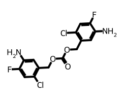 Nc1cc(COC(=O)OCc2cc(N)c(F)cc2Cl)c(Cl)cc1F